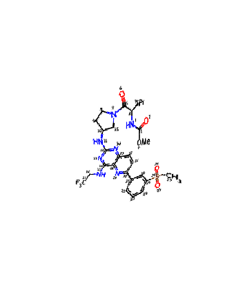 COC(=O)N[C@@H](C(=O)N1CC[C@H](Nc2nc(NCC(F)(F)F)c3nc(-c4cccc(S(C)(=O)=O)c4)ccc3n2)C1)C(C)C